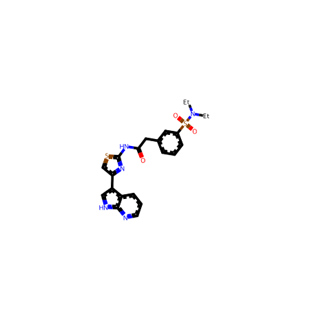 CCN(CC)S(=O)(=O)c1cccc(CC(=O)Nc2nc(-c3c[nH]c4ncccc34)cs2)c1